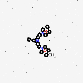 Cc1ccccc1-c1cccc2c1oc1c(N(c3ccccc3)c3ccc4cc5c6cc(-c7ccccc7)cc7c8cc9ccc(N(c%10ccccc%10)c%10cccc%11c%10oc%10c(-c%12ccccc%12C)cccc%10%11)cc9cc8n(c5cc4c3)c67)cccc12